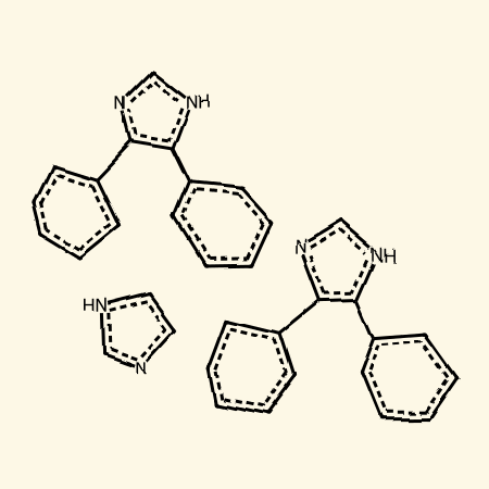 c1c[nH]cn1.c1ccc(-c2nc[nH]c2-c2ccccc2)cc1.c1ccc(-c2nc[nH]c2-c2ccccc2)cc1